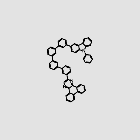 c1ccc(-n2c3ccccc3c3cc(-c4cccc(-c5cccc(-c6cccc(-c7cccc(-c8cnc9c%10ccccc%10c%10ccccc%10c9n8)c7)c6)c5)c4)ccc32)cc1